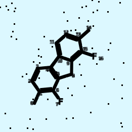 Cc1ccc2c(c1F)Cc1c-2ccc(C)c1F